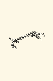 CCCCC(CC)COC(=O)CCCCCCCCCCCCCC(CC)C(=O)OCC(CC)CCCC